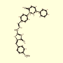 COc1ccc(C=C2SC(NN=Cc3ccc(-n4nc(-c5ccccc5)ccc4=O)cc3)=NC2=O)cc1